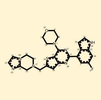 Fc1cc(-c2nc(N3CCOCC3)c3sc(CN4CCn5ccnc5C4)cc3n2)c2cc[nH]c2c1